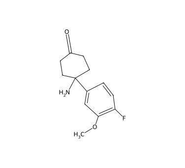 COc1cc(C2(N)CCC(=O)CC2)ccc1F